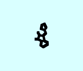 O=C1Nc2ccccc2C1=Cn1cccc1